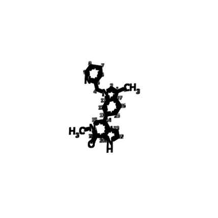 Cc1cn(Cc2ccccn2)c2cc(-c3cn(C)c(=O)c4[nH]ccc34)ccc12